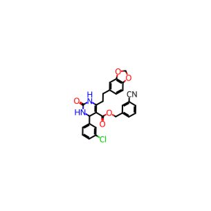 N#Cc1cccc(COC(=O)C2=C(CCc3ccc4c(c3)OCO4)NC(=O)NC2c2cccc(Cl)c2)c1